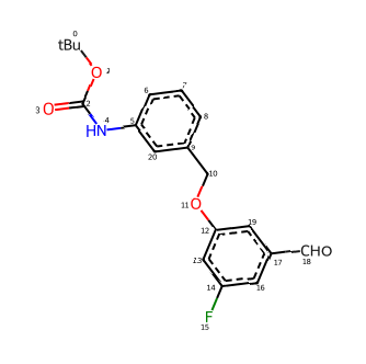 CC(C)(C)OC(=O)Nc1cccc(COc2cc(F)cc(C=O)c2)c1